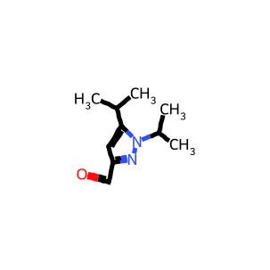 CC(C)c1cc(C=O)nn1C(C)C